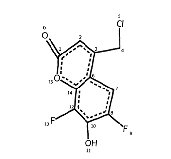 O=c1cc(CCl)c2cc(F)c(O)c(F)c2o1